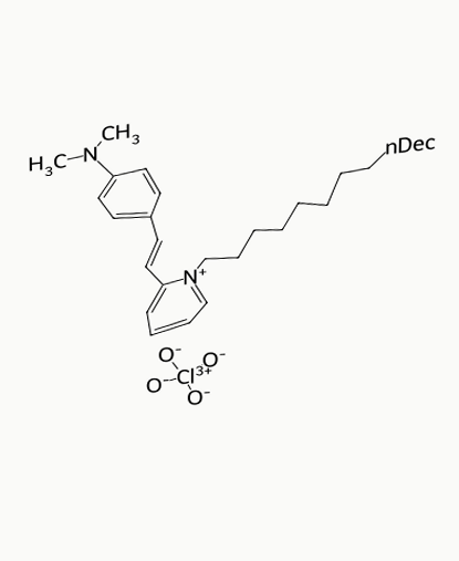 CCCCCCCCCCCCCCCCCC[n+]1ccccc1C=Cc1ccc(N(C)C)cc1.[O-][Cl+3]([O-])([O-])[O-]